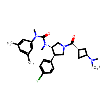 CN(C(=O)N(C)[C@@H]1CN(C(=O)[C@H]2C[C@H](N(C)C(=O)O)C2)C[C@H]1c1ccc(F)cc1)c1cc(C(F)(F)F)cc(C(F)(F)F)c1